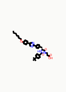 CCCC/C=C/COc1ccc(-c2cnc(-c3ccc(C[C@H](NC(=O)c4ccc(C(C)(C)C)cc4)C(=O)NCCC(=O)O)cc3)nc2)cc1